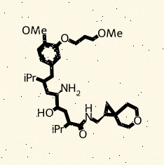 COCCCOc1cc(CC(C[C@H](N)C(O)CC(C(=O)NC[C@H]2CC23CCOCC3)C(C)C)C(C)C)ccc1OC